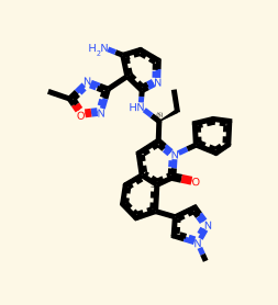 CC[C@H](Nc1nccc(N)c1-c1noc(C)n1)c1cc2cccc(-c3cnn(C)c3)c2c(=O)n1-c1ccccc1